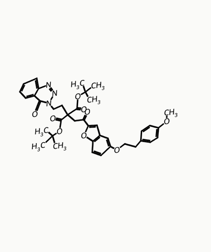 COc1ccc(CCOc2ccc3oc(C(=O)CC(CCn4nnc5ccccc5c4=O)(C(=O)OC(C)(C)C)C(=O)OC(C)(C)C)cc3c2)cc1